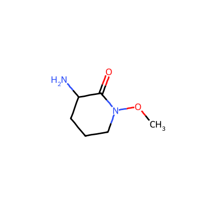 CON1CCCC(N)C1=O